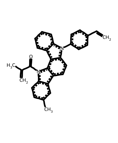 C=Cc1ccc(-n2c3ccccc3c3c4c(ccc32)c2cc(C)ccc2n4C(=O)C(=C)C)cc1